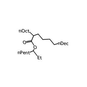 CCCCCCCCCCCCCCC(CCCCCCCC)C(=O)OC(CC)CCCCC